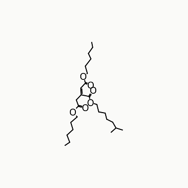 CCCCCCOC(=O)C=C(CC(=O)OCCCCCC)C(=O)OCCCCCC(C)C